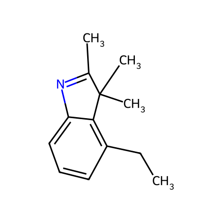 CCc1cccc2c1C(C)(C)C(C)=N2